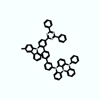 Cc1ccc2c(c1)c1ccccc1n2-c1ccc(-c2nc(-c3ccccc3)nc(-c3ccccc3)n2)cc1-c1ccc(-c2cccc(N3c4ccccc4B4c5ccccc5N(c5ccccc5)c5cccc3c54)c2)cc1